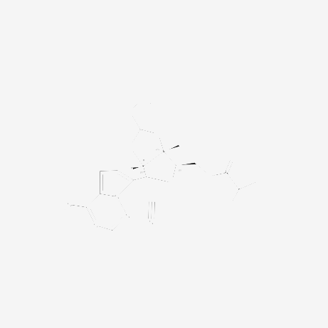 COC1O[C@H]2[C@@H](O1)[C@](C#N)(c1ccc3c(N)ncnn13)O[C@@H]2COC(=O)C(C)C